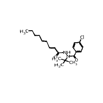 CCCCCCCCC(=O)NN(C(=O)c1ccc(Cl)cc1)C(C)(C)C